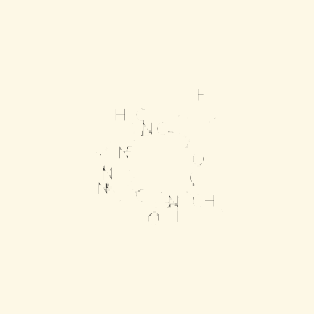 C[C@@H]1COc2ccc(F)cc2CN(C)c2ccn3ncc(c3n2)CC(=O)N1